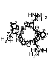 CC(=O)N[C@@H](Cc1ccccc1)C(=O)N[C@H]1CCNC(=O)C(CCCNC(=N)N)NC(=O)C(Cc2ccccc2)NC(=O)[C@@H](CCCNC(=N)N)NC(=O)C2CCCN2C1=O